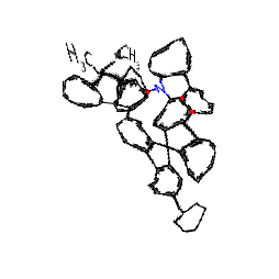 CC1(C)c2ccccc2-c2ccc(N(c3ccc4c(c3)C3(c5ccccc5-4)c4cc(C5CCCCC5)ccc4-c4ccc(C5CCCCC5)cc43)c3ccccc3-c3ccccc3)cc21